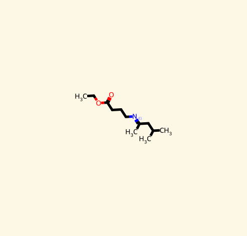 CCOC(=O)CCC/N=C(\C)CC(C)C